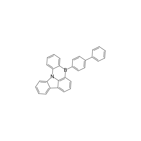 c1ccc(-c2ccc(B3c4ccccc4-n4c5ccccc5c5cccc3c54)cc2)cc1